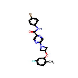 Cc1ccc(F)cc1OC1CN(c2cnc(C(=O)Nc3ccc(Br)cc3)cn2)C1